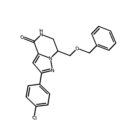 O=C1NCC(COCc2ccccc2)n2nc(-c3ccc(Cl)cc3)cc21